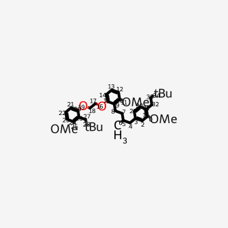 COc1cc(CC(C)CCc2c(OC)cccc2OCCOc2cccc(OC)c2CC(C)(C)C)ccc1CCC(C)(C)C